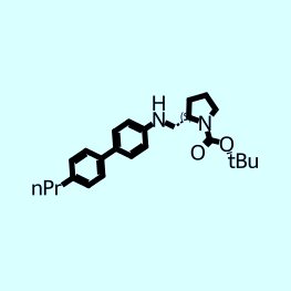 CCCc1ccc(-c2ccc(NC[C@@H]3CCCN3C(=O)OC(C)(C)C)cc2)cc1